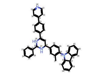 Cc1cc(C2C=C(c3ccc(-c4ccncc4)cc3)NC(c3ccccc3)N2)ccc1-n1c2ccccc2c2ccccc21